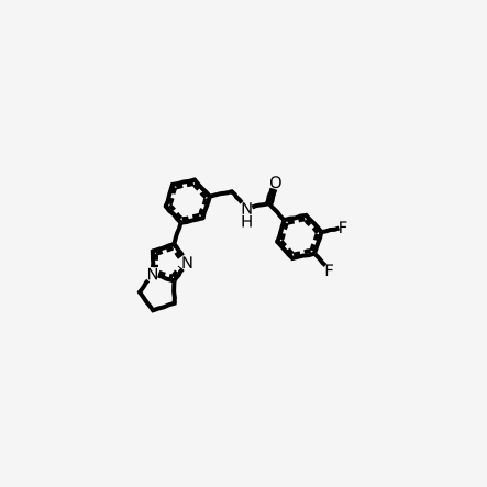 O=C(NCc1cccc(-c2cn3c(n2)CCC3)c1)c1ccc(F)c(F)c1